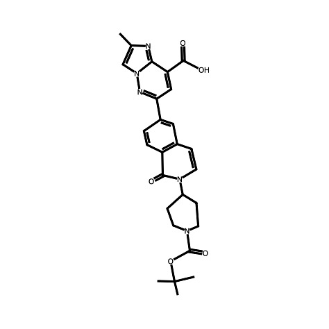 Cc1cn2nc(-c3ccc4c(=O)n(C5CCN(C(=O)OC(C)(C)C)CC5)ccc4c3)cc(C(=O)O)c2n1